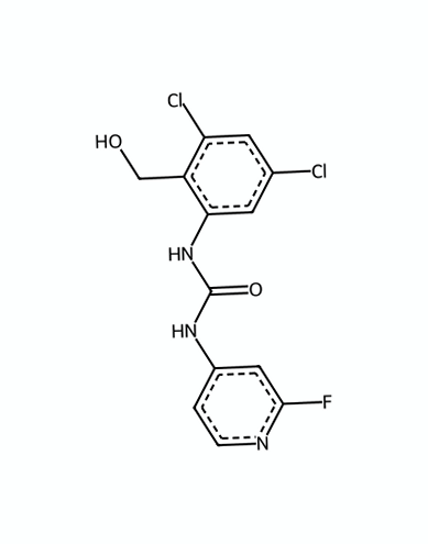 O=C(Nc1ccnc(F)c1)Nc1cc(Cl)cc(Cl)c1CO